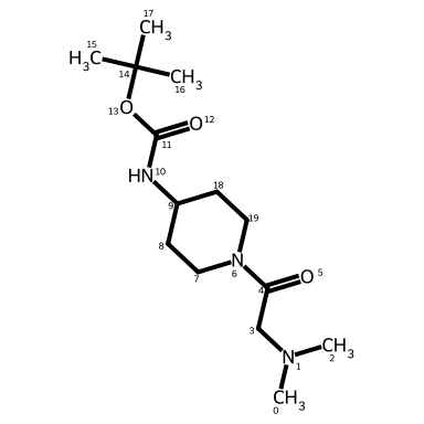 CN(C)CC(=O)N1CCC(NC(=O)OC(C)(C)C)CC1